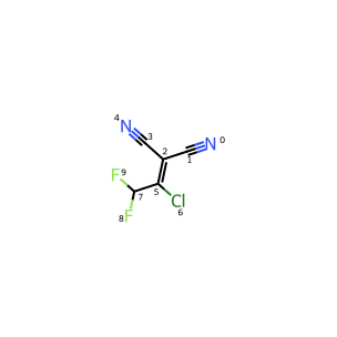 N#CC(C#N)=C(Cl)C(F)F